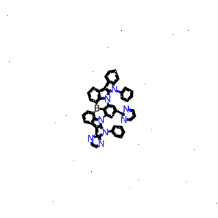 c1ccc(-n2c3ccccc3c3c4cccc5c4n(c32)-c2cc(-c3ncccn3)cc3c2B5c2cccc4c5c6nccnc6n(-c6ccccc6)c5n-3c24)cc1